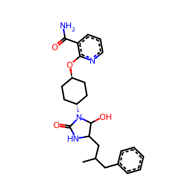 CC(Cc1ccccc1)CC1NC(=O)N([C@H]2CC[C@H](Oc3ncccc3C(N)=O)CC2)C1O